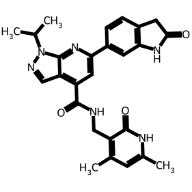 Cc1cc(C)c(CNC(=O)c2cc(-c3ccc4c(c3)NC(=O)C4)nc3c2cnn3C(C)C)c(=O)[nH]1